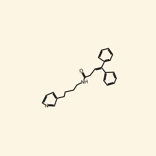 O=C(CC=C(c1ccccc1)c1ccccc1)NCCCCc1cccnc1